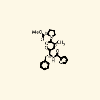 COC(=O)[C@@H]1CCCN1C(=O)[C@@H](C)CC(=O)[C@@H](Cc1ccccc1)NC(=O)c1ccco1